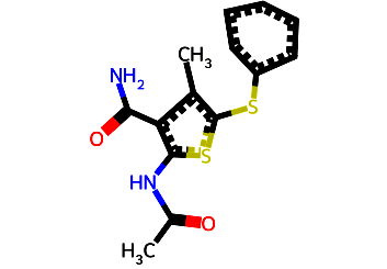 CC(=O)Nc1sc(Sc2ccccc2)c(C)c1C(N)=O